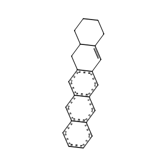 C1=C2CCCCC2Cc2cc3cc4ccccc4cc3cc21